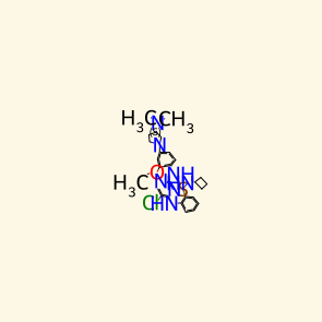 CCOc1cc(N2CC[C@H](N(C)C)C2)ccc1Nc1ncc(Cl)c(Nc2ccccc2SNC2CCC2)n1